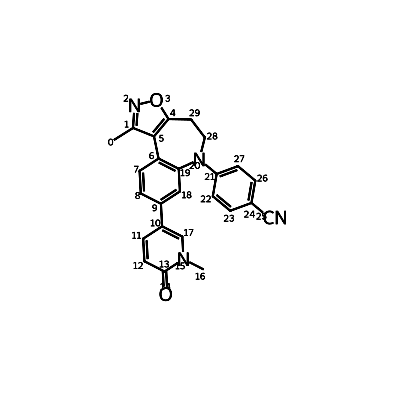 Cc1noc2c1-c1ccc(-c3ccc(=O)n(C)c3)cc1N(c1ccc(C#N)cc1)CC2